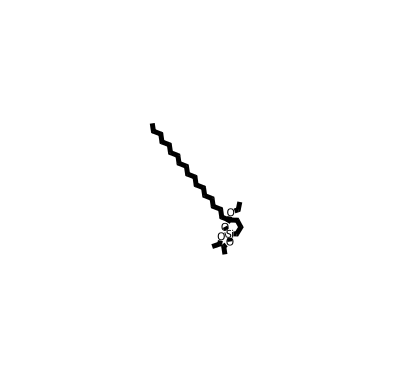 CCCCCCCCCCCCCCCCCCC1(OCC)CCC[Si](OCC)(OCC)O1